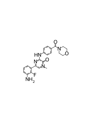 Cn1cc(-c2cccc(N)c2F)nc(Nc2ccc(C(=O)N3CCOCC3)cc2)c1=O